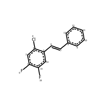 Fc1cc(Cl)c(C=Cc2ccccc2)cc1F